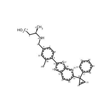 C[C@H](CC(=O)O)NCc1ccc(-c2nc3ccc(C4(c5ccccc5)C=C4)nc3s2)c(F)c1